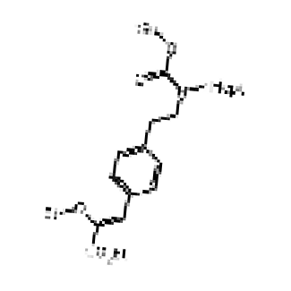 CCCCCCCN(CCc1ccc(/C=C(\OCC)C(=O)OCC)cc1)C(=O)OC(C)(C)C